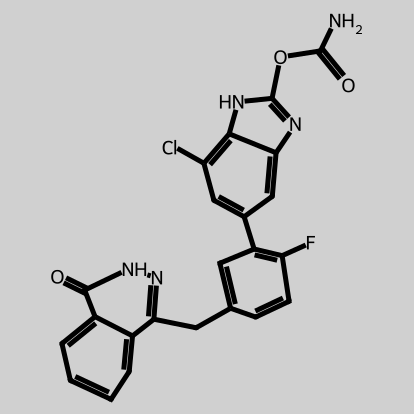 NC(=O)Oc1nc2cc(-c3cc(Cc4n[nH]c(=O)c5ccccc45)ccc3F)cc(Cl)c2[nH]1